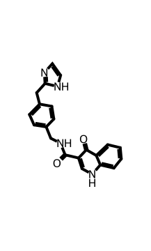 O=C(NCc1ccc(Cc2ncc[nH]2)cc1)c1c[nH]c2ccccc2c1=O